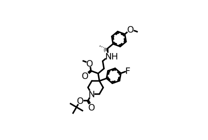 COC(=O)C(CCN[C@H](C)c1ccc(OC)cc1)C1(c2ccc(F)cc2)CCN(C(=O)OC(C)(C)C)CC1